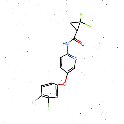 O=C(Nc1ccc(Oc2ccc(F)c(F)c2)cn1)C1CC1(F)F